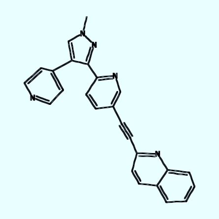 Cn1cc(-c2ccncc2)c(-c2ccc(C#Cc3ccc4ccccc4n3)cn2)n1